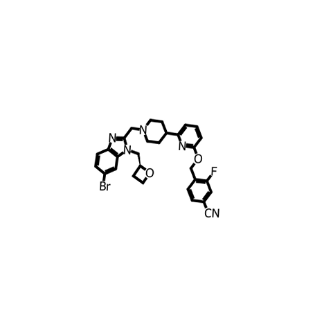 N#Cc1ccc(COc2cccc(C3CCN(Cc4nc5ccc(Br)cc5n4C[C@@H]4CCO4)CC3)n2)c(F)c1